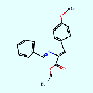 CCCCCCCCCCOc1ccc(C=C(N=Cc2ccccc2)C(=O)OC[C@@H](C)CC)cc1